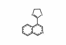 c1ccc2c(C3=NCCS3)cncc2c1